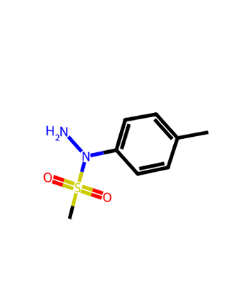 Cc1ccc(N(N)S(C)(=O)=O)cc1